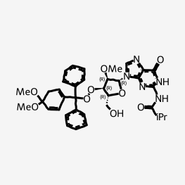 CO[C@@H]1[C@H](OOC(C2=CCC(OC)(OC)C=C2)(c2ccccc2)c2ccccc2)[C@@H](CO)O[C@H]1n1cnc2c(=O)[nH]c(NC(=O)C(C)C)nc21